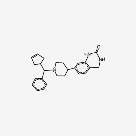 O=C1NCc2ccc(C3CCN(C(c4ccccc4)C4CC=CC4)CC3)cc2N1